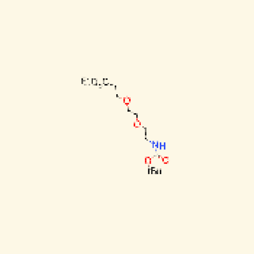 CCOC(=O)CCOCCOCCNC(=O)OC(C)(C)C